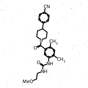 COCCNC(=O)Nc1cc(C(=O)N2CCC(c3ccc(C#N)cc3)CC2)c(C)cc1C